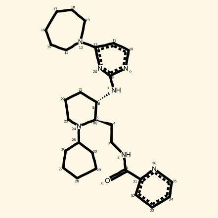 O=C(NCC[C@@H]1[C@@H](Nc2nccc(N3CCCCCC3)n2)CCCN1C1CCCCC1)c1ccccn1